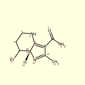 CCC1CCNC2=C(C(N)=O)C(C)=N[C@@H]21